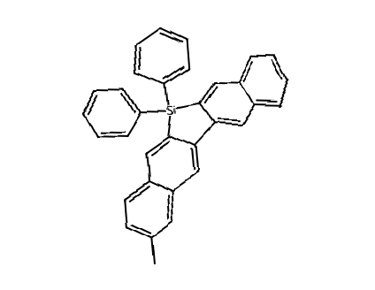 Cc1ccc2cc3c(cc2c1)-c1cc2ccccc2cc1[Si]3(c1ccccc1)c1ccccc1